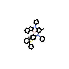 Cc1cc2c3c(c1)N(c1ccccc1)c1cc4c(cc1B3C1=C(Cc3ccccc31)N2c1ccccc1)C1(C)CCCCC1(c1ccccc1)S4